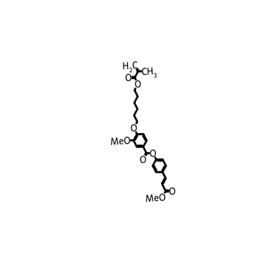 C=C(C)C(=O)OCCCCCCOc1ccc(C(=O)Oc2ccc(C=CC(=O)OC)cc2)cc1OC